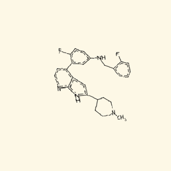 CN1CCC(c2cc3c(-c4cc(NCc5ccccc5F)ccc4F)ccnc3[nH]2)CC1